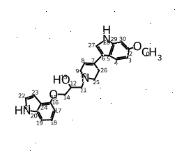 COc1ccc2c(C3=CCN(CC(O)COc4cccc5[nH]ccc45)CC3)c[nH]c2c1